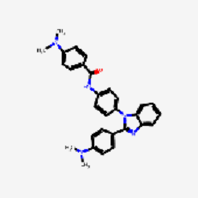 CN(C)c1ccc(C(=O)Nc2ccc(-n3c(-c4ccc(N(C)C)cc4)nc4ccccc43)cc2)cc1